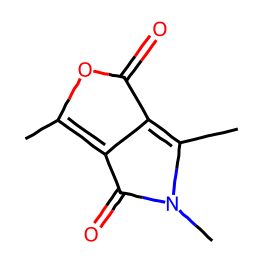 CC1=C2C(=O)N(C)C(C)=C2C(=O)O1